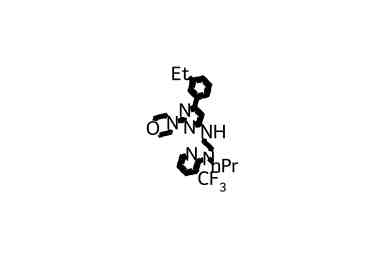 CCCN(CCNc1cc(-c2cccc(CC)c2)nc(N2CCOCC2)n1)c1ncccc1C(F)(F)F